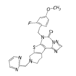 COc1ccc(Cn2c(=O)n3ncnc3c3c4c(sc32)CN(Cc2ncccn2)CC4)c(F)c1